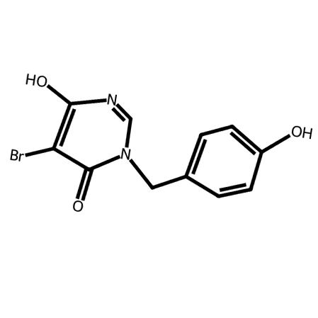 O=c1c(Br)c(O)ncn1Cc1ccc(O)cc1